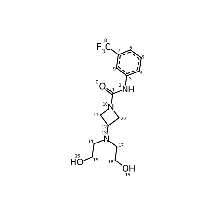 O=C(Nc1cccc(C(F)(F)F)c1)N1CC(N(CCO)CCO)C1